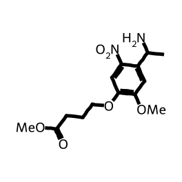 COC(=O)CCCOc1cc([N+](=O)[O-])c(C(C)N)cc1OC